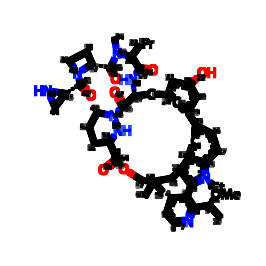 CCn1c(-c2cccnc2[C@H](C)OC)c2c3cc(ccc31)-c1cc(O)cc(c1)C[C@H](NC(=O)C(C(C)C)N(C)C(=O)[C@H]1CCN1C(=O)[C@@H]1CN1)C(=O)N1CCC[C@H](N1)C(=O)OCC(C)(C)C2